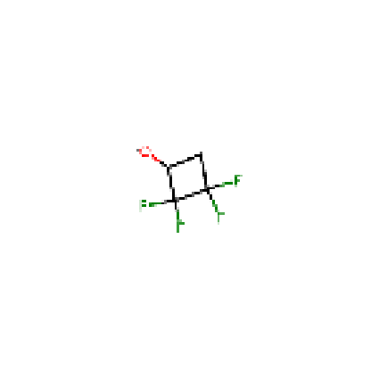 [O]C1CC(F)(F)C1(F)F